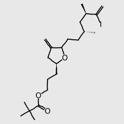 C=C1C[C@H](CCCOC(=O)C(C)(C)C)OC1CC[C@@H](C)C[C@@H](C)C(=C)I